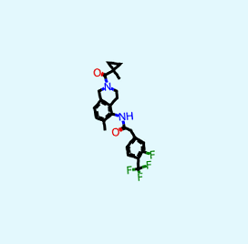 Cc1ccc2c(c1NC(=O)Cc1ccc(C(F)(F)F)c(F)c1)CCN(C(=O)C1(C)CC1)C2